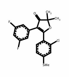 CSc1ccc(C2=C(c3cc(F)cc(F)c3)C(=O)C(C)(C)O2)c(Cl)c1